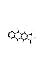 C=C1c2c(N)c3c(c(N)c2C(=P)N1C)C(=O)c1ccccc1C3=O